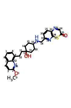 COc1ccc2cccc(CCC3(O)CCC(NCc4ccc5ncc(=O)sc5n4)CC3)c2n1